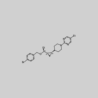 CCc1cnc(N2CCC([C@H]3C[C@H]3[C@H](CC)OCc3ccc(Br)cc3)CC2)nc1